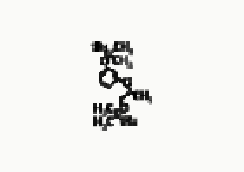 C[C@@H](CO[Si](C)(C)C(C)(C)C)Oc1cccc(O[Si](C)(C)C(C)(C)C)c1